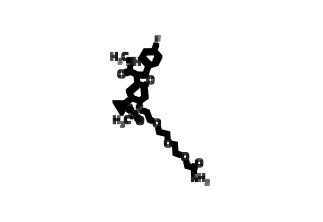 CNC(=O)c1c(-c2ccc(F)cc2)oc2c1=CC(C1CC1)C(N(CCOCCOCCOCC(N)=O)S(C)(=O)=O)C=2